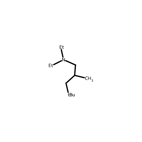 CCN(CC)CC(C)CC(C)(C)C